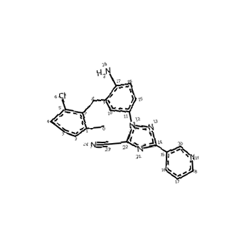 Cc1cccc(Cl)c1Cc1cc(-n2nc(-c3cccnc3)nc2C#N)ccc1N